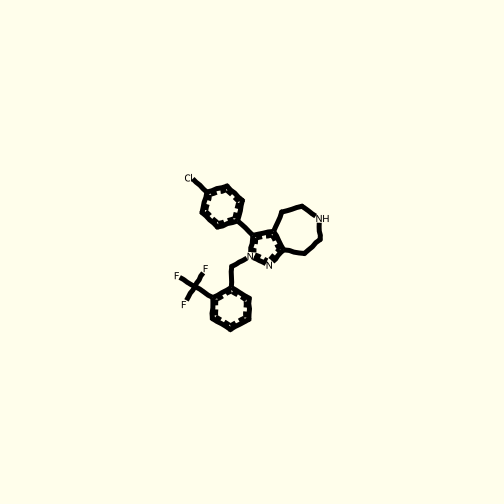 FC(F)(F)c1ccccc1Cn1nc2c(c1-c1ccc(Cl)cc1)CCNCC2